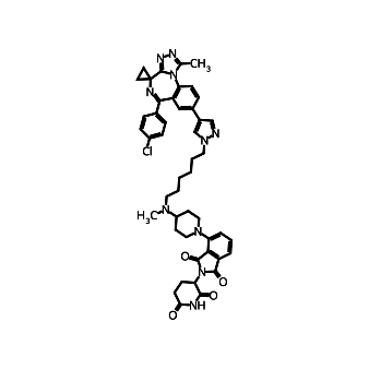 Cc1nnc2n1-c1ccc(-c3cnn(CCCCCCN(C)C4CCN(c5cccc6c5C(=O)N(C5CCC(=O)NC5=O)C6=O)CC4)c3)cc1C(c1ccc(Cl)cc1)=NC21CC1